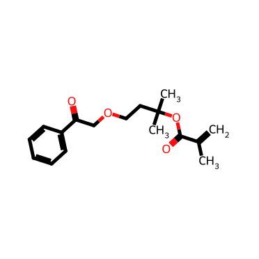 C=C(C)C(=O)OC(C)(C)CCOCC(=O)c1ccccc1